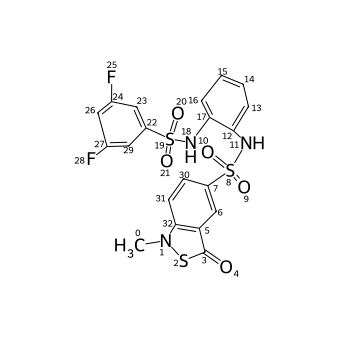 Cn1sc(=O)c2cc(S(=O)(=O)Nc3ccccc3NS(=O)(=O)c3cc(F)cc(F)c3)ccc21